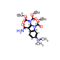 CN(C)c1ccc2c(C(N)=O)c(N(C(=O)OC(C)(C)C)C(=O)OC(C)(C)C)n(C(=O)OC(C)(C)C)c2c1